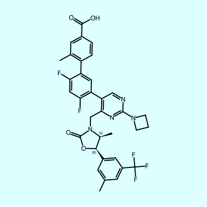 Cc1cc([C@H]2OC(=O)N(Cc3nc(N4CCC4)ncc3-c3cc(-c4ccc(C(=O)O)cc4C)c(F)cc3F)[C@H]2C)cc(C(F)(F)F)c1